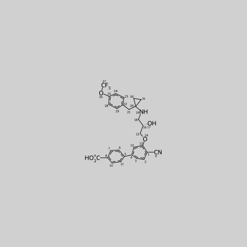 N#Cc1ccc(-c2ccc(C(=O)O)cc2)cc1OC[C@@H](O)CNC1(Cc2ccc(OC(F)(F)F)cc2)CC1